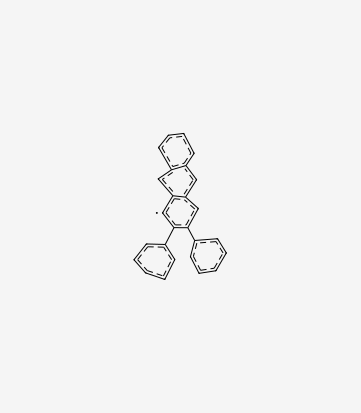 [c]1c(-c2ccccc2)c(-c2ccccc2)cc2cc3ccccc3cc12